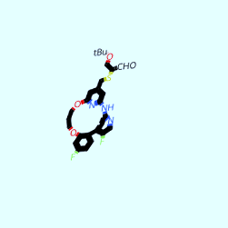 CC(C)(C)OCC(C=O)SCc1cc2nc(c1)OCCCOc1cc(F)ccc1-c1cc(ncc1F)N2